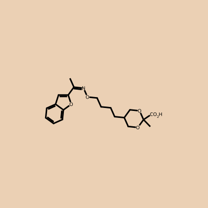 C/C(=N/OCCCCC1COC(C)(C(=O)O)OC1)c1cc2ccccc2o1